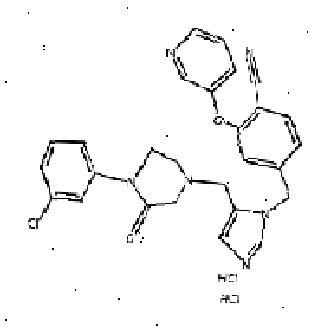 Cl.Cl.N#Cc1ccc(Cn2cncc2CN2CCN(c3cccc(Cl)c3)C(=O)C2)cc1Oc1cccnc1